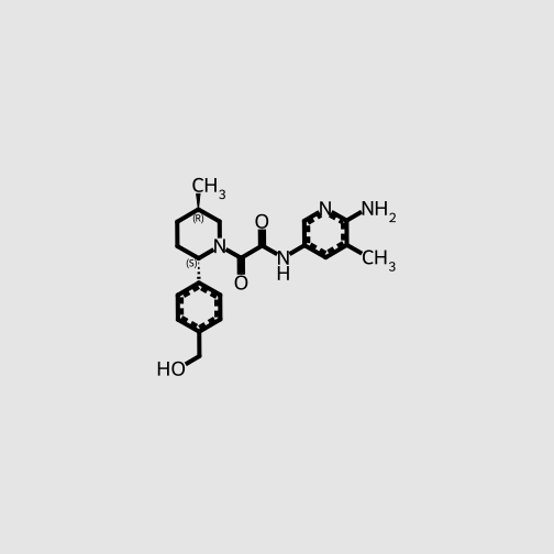 Cc1cc(NC(=O)C(=O)N2C[C@H](C)CC[C@H]2c2ccc(CO)cc2)cnc1N